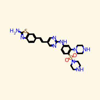 Nc1nc2ccc(C=Cc3cnc(Nc4ccc(S(=O)(=O)N5CCNCC5)c(N5CCNCC5)c4)nc3)cc2s1